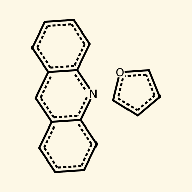 c1ccc2nc3ccccc3cc2c1.c1ccoc1